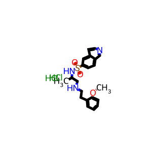 COc1ccccc1CCNCC(C)NS(=O)(=O)c1ccc2cnccc2c1.Cl.Cl